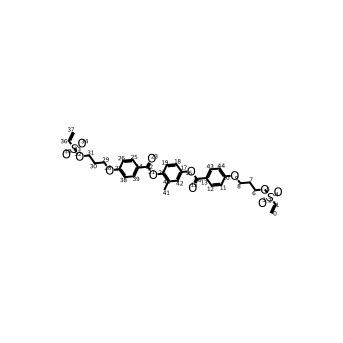 C=CS(=O)(=O)OCCCOc1ccc(C(=O)Oc2ccc(OC(=O)c3ccc(OCCCOS(=O)(=O)C=C)cc3)c(C)c2)cc1